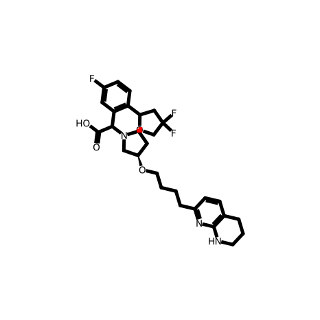 O=C(O)C(c1cc(F)ccc1C1CC(F)(F)CO1)N1CC[C@@H](OCCCCc2ccc3c(n2)NCCC3)C1